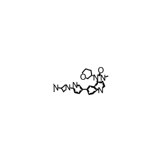 CN(C)C1CN(c2ccc(-c3ccc4ncc5c(c4c3)n([C@@H]3CCCOC3)c(=O)n5C)cn2)C1